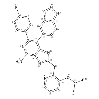 Nc1nc(-c2ccc(F)cc2)c(-c2ccc3nncn3c2)c2nc(Cc3ncccc3OC(F)F)nn12